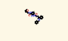 O=C(/C=C/c1cn(Cc2ccccc2)c2ccccc12)Nc1cccc(C(=O)NCc2ccco2)c1